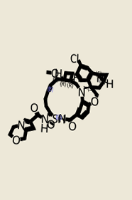 CO[C@H]1/C=C/CCC(NC(=O)c2cc3n(c2)CCOC3)/[SH](=O)=N\C(=O)c2ccc3c(c2)N(C[C@@H]2CC[C@H]21)C[C@]1(CO3)C[C@@H]2C[C@@H]2c2cc(Cl)ccc21